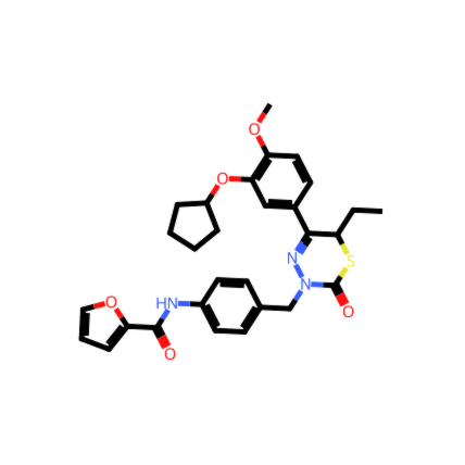 CCC1SC(=O)N(Cc2ccc(NC(=O)c3ccco3)cc2)N=C1c1ccc(OC)c(OC2CCCC2)c1